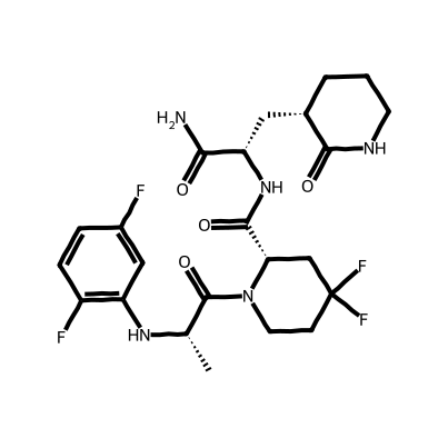 C[C@H](Nc1cc(F)ccc1F)C(=O)N1CCC(F)(F)C[C@H]1C(=O)N[C@@H](C[C@@H]1CCCNC1=O)C(N)=O